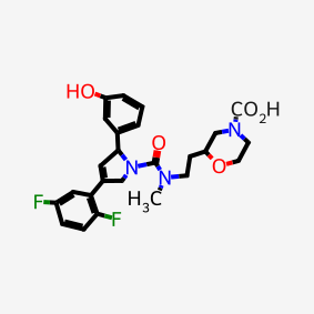 CN(CCC1CN(C(=O)O)CCO1)C(=O)N1CC(c2cc(F)ccc2F)=CC1c1cccc(O)c1